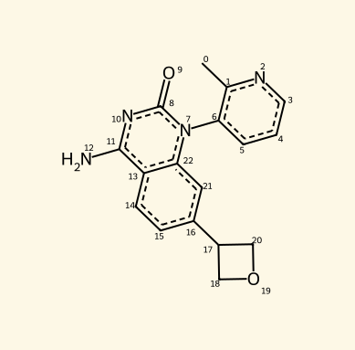 Cc1ncccc1-n1c(=O)nc(N)c2ccc(C3COC3)cc21